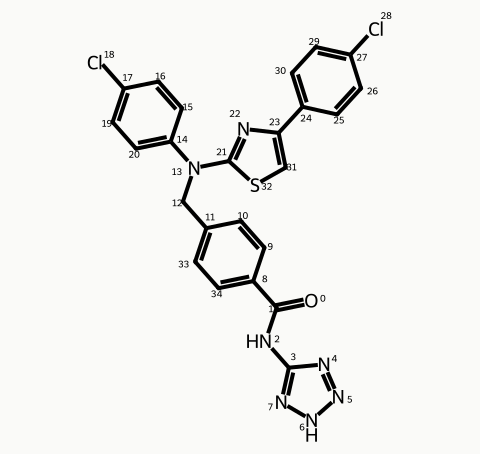 O=C(Nc1nn[nH]n1)c1ccc(CN(c2ccc(Cl)cc2)c2nc(-c3ccc(Cl)cc3)cs2)cc1